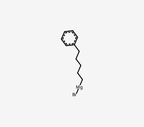 [Br][Mg][CH2]CCCCc1ccccc1